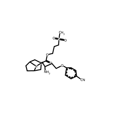 CS(=O)(=O)CCCOC(=O)N1CC2CCC(C1)N2CC(N)CCOc1ccc(C#N)cc1